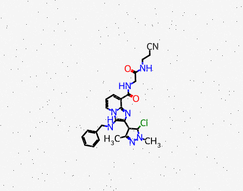 CC1=NN(C)C(Cl)C1c1nc2c(C(=O)NCC(=O)NCCC#N)cccn2c1NCc1ccccc1